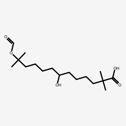 CC(C)(CCCCC(O)CCCCC(C)(C)C(=O)O)OC=O